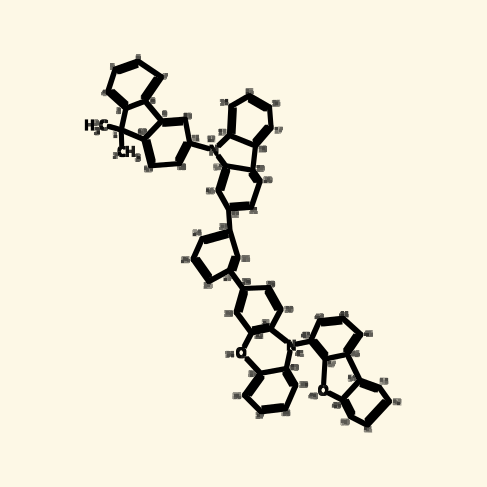 CC1(C)c2ccccc2-c2cc(-n3c4ccccc4c4ccc(-c5cccc(-c6ccc7c(c6)Oc6ccccc6N7c6cccc7c6oc6ccccc67)c5)cc43)ccc21